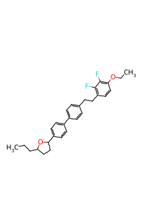 CCCC1CCC(c2ccc(-c3ccc(CCc4ccc(OCC)c(F)c4F)cc3)cc2)O1